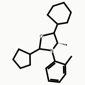 Cc1ccccc1N1C(C2CCCC2)OC(C2CCCCC2)[C@@H]1C